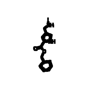 O=C(OCc1ccccc1)c1cc(CNI)c[nH]1